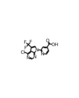 O=C(O)c1ccnc(-n2cc(C(F)(F)F)c3c(Cl)ncnc32)c1